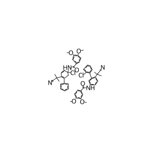 COc1ccc(C(=O)NC2(Cl)C=CC(C(C)(C)C#N)=C(c3ccccc3)C2)cc1OC.COc1ccc(C(=O)Nc2ccc(C(C)(C)C#N)c(-c3ccccc3Cl)c2)cc1OC